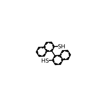 Sc1ccc2ccccc2c1-c1c(S)ccc2ccccc12